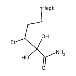 CCCCCCCCCC(CC)C(O)(O)C(N)=O